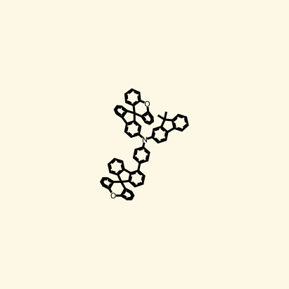 CC1(C)c2ccccc2-c2ccc(N(c3ccc(-c4cccc5c4-c4ccccc4C54c5ccccc5Oc5ccccc54)cc3)c3ccc4c(c3)C3(c5ccccc5Oc5ccccc53)c3ccccc3-4)cc21